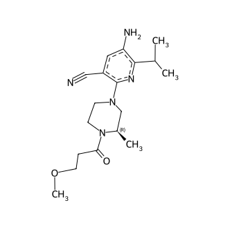 COCCC(=O)N1CCN(c2nc(C(C)C)c(N)cc2C#N)C[C@H]1C